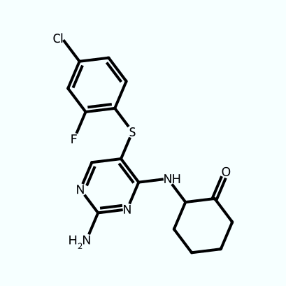 Nc1ncc(Sc2ccc(Cl)cc2F)c(NC2CCCCC2=O)n1